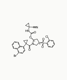 N#CC1(NC(=O)O[C@H]2C[C@@H](S(=O)(=O)c3ccccc3Cl)CN2C(=O)C2(c3ccc(Br)c4ccccc34)CC2)CC1